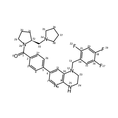 O=C(c1ccc(-c2cnc3c(c2)N(Cc2cc(F)c(F)cc2F)CCN3)cc1)N1CCC[C@H]1CN1CCCC1